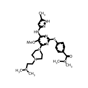 COc1c(Nc2cc(C)[nH]n2)nc(Sc2ccc(C(=O)N(C)C)cc2)nc1N1CCN(CCN(C)C)CC1